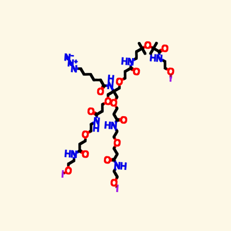 CC(C)(CCNC(=O)CCOCC(COCCC(=O)NCCOCCC(=O)NCCOI)(COCCC(=O)NCCOCCC(=O)NCCOI)NC(=O)CCCCCN=[N+]=[N-])OC(C)(C)C(=O)NCCOI